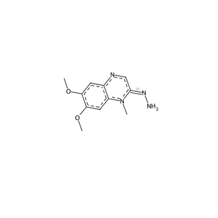 COc1cc2nc/c(=N/N)n(C)c2cc1OC